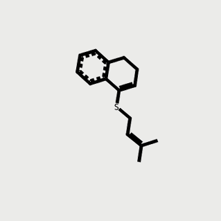 CC(C)=CCSC1=CCCc2ccccc21